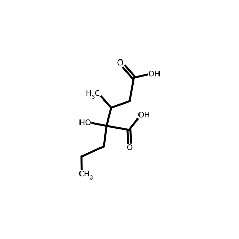 CCCC(O)(C(=O)O)C(C)CC(=O)O